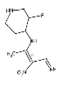 C/C(NC1CCNCC1F)=C(/C=N)[N+](=O)[O-]